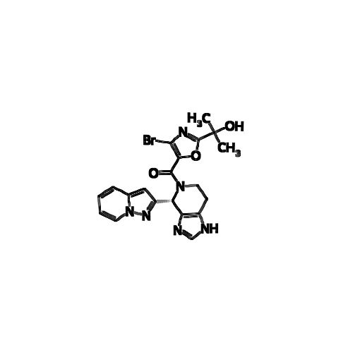 CC(C)(O)c1nc(Br)c(C(=O)N2CCc3[nH]cnc3[C@@H]2c2cc3ccccn3n2)o1